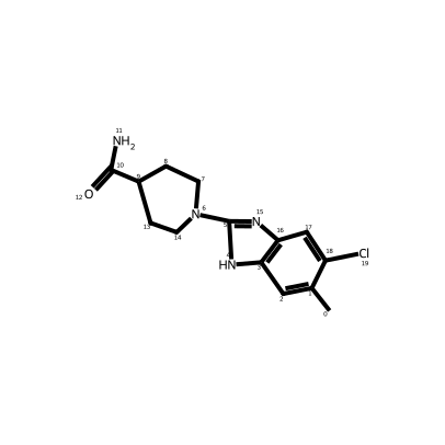 Cc1cc2[nH]c(N3CCC(C(N)=O)CC3)nc2cc1Cl